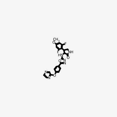 COc1cc(F)c(C2CNC(=O)C2Nc2nnc(-c3ccc(Oc4cnccn4)cc3)o2)c(F)c1